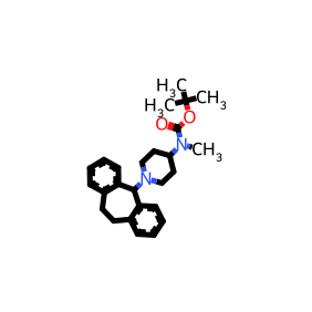 CN(C(=O)OC(C)(C)C)C1CCN(C2c3ccccc3CCc3ccccc32)CC1